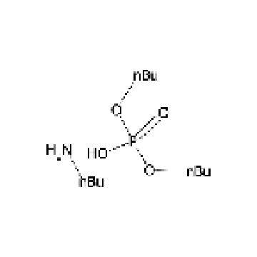 CCCCN.CCCCOP(=O)(O)OCCCC